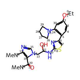 CCOc1ccc(-c2csc(NC(O)Cn3cnc(NC)c3C(=O)NC)n2)c(N2CCCC2)c1